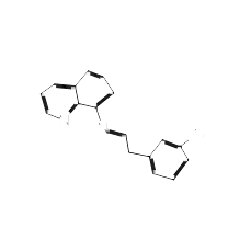 CC(=O)c1cccc(CC=Nc2cccc3cccnc23)c1